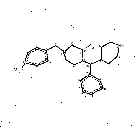 COc1ccc(CN2CCN([C@H](c3ccccc3)C3CCNCC3)[C@@H](C)C2)cc1